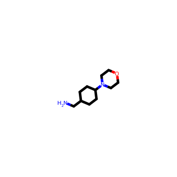 NCC1CCC(N2CCOCC2)CC1